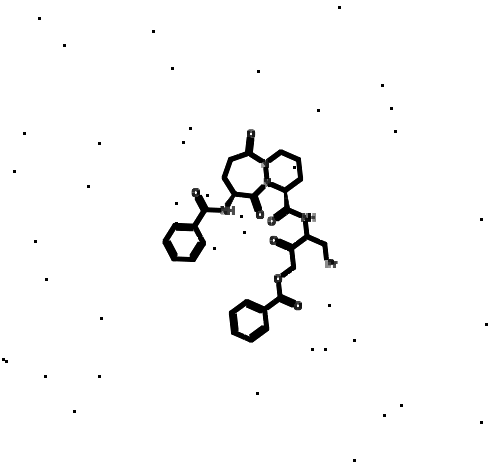 CC(C)CC(NC(=O)[C@@H]1CCCN2C(=O)CC[C@H](NC(=O)c3ccccc3)C(=O)N12)C(=O)COC(=O)c1ccccc1